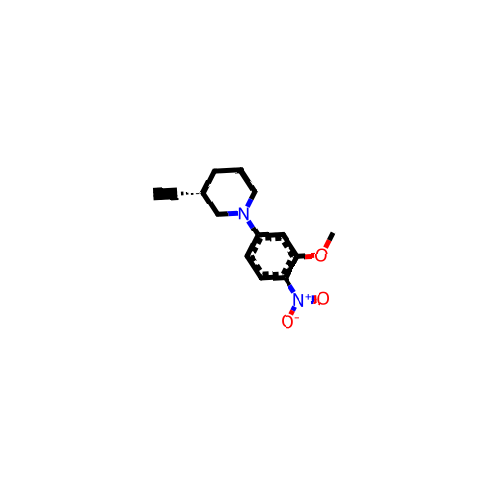 C#C[C@@H]1CCCN(c2ccc([N+](=O)[O-])c(OC)c2)C1